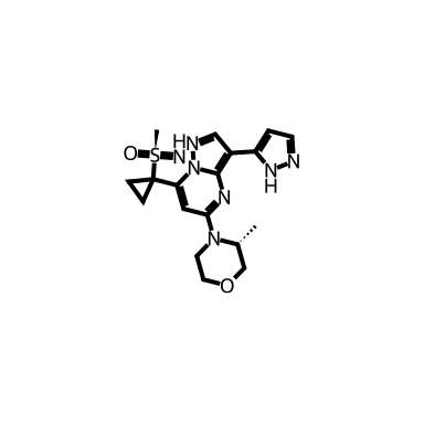 C[C@@H]1COCCN1c1cc(C2([S@@](C)(=N)=O)CC2)n2ncc(-c3ccn[nH]3)c2n1